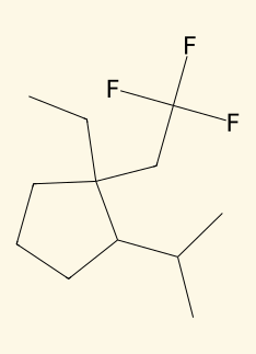 CCC1(CC(F)(F)F)CCCC1C(C)C